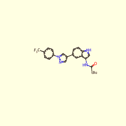 CC(C)(C)C(=O)Nc1c[nH]c2ccc(-c3cnn(-c4ccc(C(F)(F)F)cc4)c3)cc12